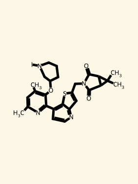 Cc1cc(C)c(OC2CCCN(I)C2)c(-c2ccnc3cc(CN4C(=O)C5C(C4=O)C5(C)C)sc23)n1